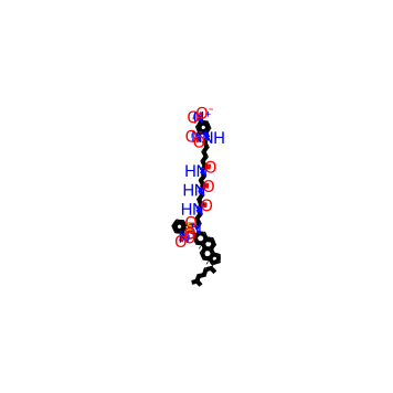 CC(C)CCCC(C)[C@H]1CCC2C3CC=C4C[C@@H](N(CCCNC(=O)CCNC(=O)CCNC(=O)CCCCCNc5ccc([N+](=O)[O-])cc5[N+](=O)[O-])S(=O)(=O)c5ccccc5[N+](=O)[O-])CC[C@]4(C)C3CC[C@@]21C